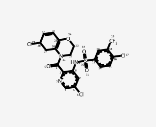 O=C(c1ncc(Cl)cc1NS(=O)(=O)c1ccc(Cl)c(C(F)(F)F)c1)N1CCOC2=C1CC(Cl)C=C2